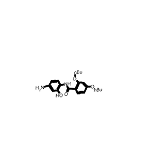 CCCCOc1ccc(C(=O)Nc2ccc(N)cc2O)c(OCCCC)c1